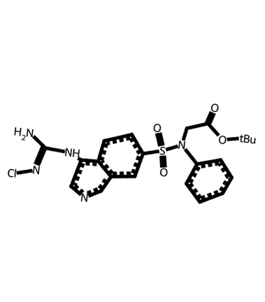 CC(C)(C)OC(=O)CN(c1ccccc1)S(=O)(=O)c1ccc2c(NC(N)=NCl)cncc2c1